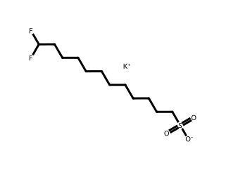 O=S(=O)([O-])CCCCCCCCCCCC(F)F.[K+]